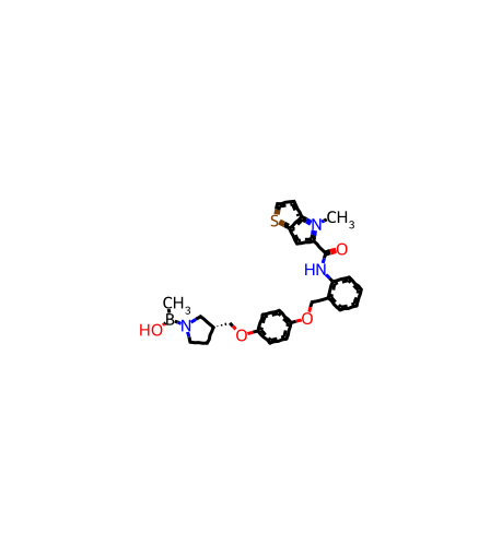 CB(O)N1CC[C@@H](COc2ccc(OCc3ccccc3NC(=O)c3cc4sccc4n3C)cc2)C1